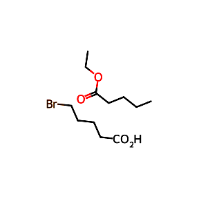 CCCCC(=O)OCC.O=C(O)CCCCBr